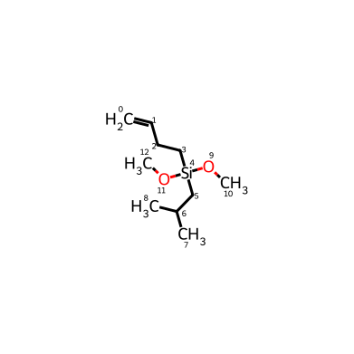 C=CCC[Si](CC(C)C)(OC)OC